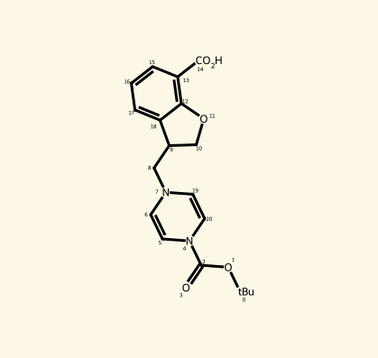 CC(C)(C)OC(=O)N1C=CN(CC2COc3c(C(=O)O)cccc32)C=C1